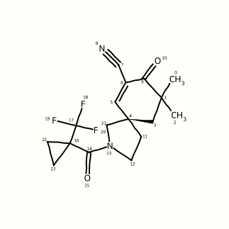 CC1(C)C[C@@]2(C=C(C#N)C1=O)CCN(C(=O)C1(C(F)(F)F)CC1)C2